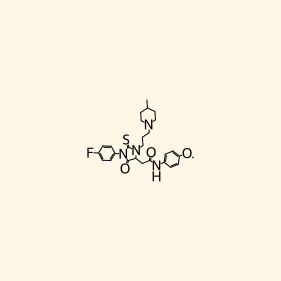 COc1ccc(NC(=O)CC2C(=O)N(c3ccc(F)cc3)C(=S)N2CCCN2CCC(C)CC2)cc1